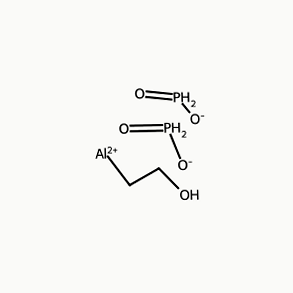 O=[PH2][O-].O=[PH2][O-].OC[CH2][Al+2]